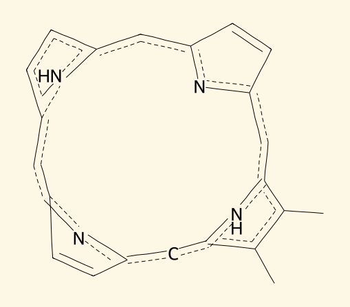 Cc1c(C)c2cc3nc(cc4ccc(cc5nc(cc1[nH]2)C=C5)[nH]4)C=C3